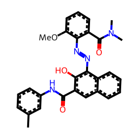 COc1cccc(C(=O)N(C)C)c1/N=N/c1c(O)c(C(=O)Nc2cccc(C)c2)cc2ccccc12